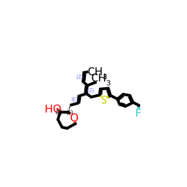 C\C=C/C(CC)=C(\C=C\C[C@@H]1OCCCC[C@H]1O)Cc1ccc(-c2ccc(CF)cc2)s1